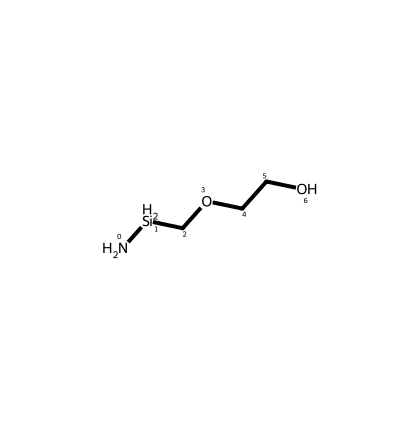 N[SiH2]COCCO